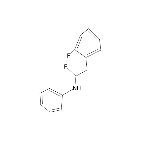 Fc1ccccc1CC(F)Nc1ccccc1